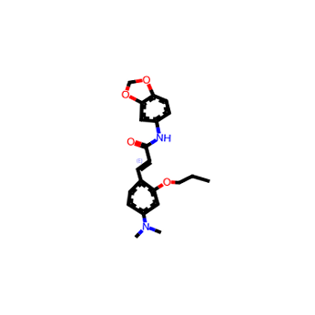 CCCOc1cc(N(C)C)ccc1/C=C/C(=O)Nc1ccc2c(c1)OCO2